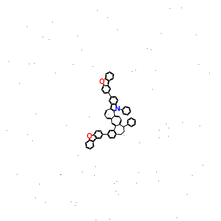 C1=Cc2c(n(-c3ccccc3)c3ccc(-c4ccc5oc6ccccc6c5c4)cc23)C2=CC=C3C(=CC2=C1)c1cc(-c2ccc4oc5ccccc5c4c2)ccc1CCC3c1ccccc1